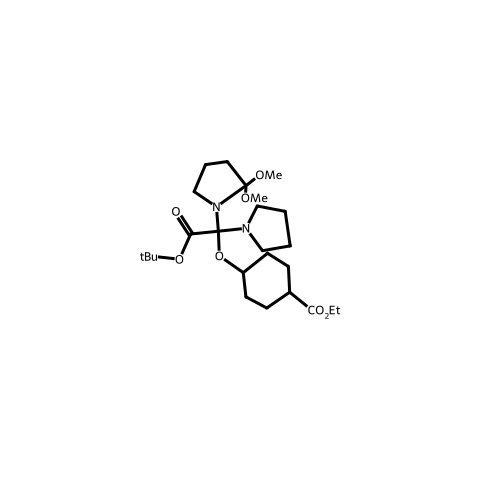 CCOC(=O)C1CCC(OC(C(=O)OC(C)(C)C)(N2CCCC2)N2CCCC2(OC)OC)CC1